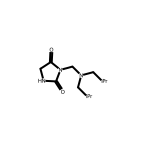 CC(C)CN(CC(C)C)CN1C(=O)CNC1=O